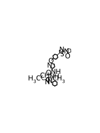 Cc1ccccc1-n1nc(CC(C)C)cc1NC(=O)Nc1ccc(Oc2ccc(-c3cnc(N4CCCC4=O)s3)cc2)nc1